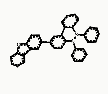 c1ccc(B2c3ccccc3-c3cc(-c4ccc5oc6ccccc6c5c4)ccc3N2c2ccccc2)cc1